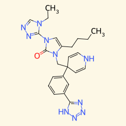 CCCCc1cn(-c2nncn2CC)c(=O)n1CC1(c2cccc(-c3nnn[nH]3)c2)C=CNC=C1